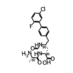 C[C@H](N)C(=O)N[C@H](C[C@@H](Cc1ccc(-c2cc(Cl)ccc2F)cc1)NC=O)C(=O)O